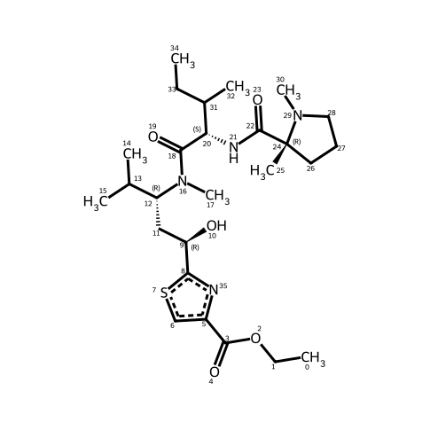 CCOC(=O)c1csc([C@H](O)C[C@H](C(C)C)N(C)C(=O)[C@@H](NC(=O)[C@@]2(C)CCCN2C)C(C)CC)n1